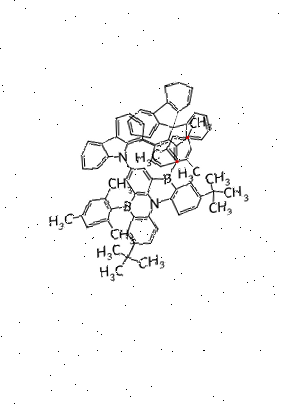 Cc1cc(C)c(B2c3cc(C(C)(C)C)ccc3N3c4ccc(C(C)(C)C)cc4B(c4c(C)cc(C)cc4C)c4cc(-n5c6ccccc6c6cccc(-c7cccc8c7C7(C9=C(CCC=C9)c9ccccc97)c7ccccc7-8)c65)cc2c43)c(C)c1